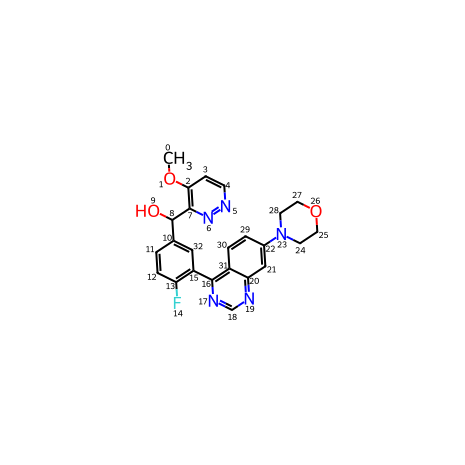 COc1ccnnc1C(O)c1ccc(F)c(-c2ncnc3cc(N4CCOCC4)ccc23)c1